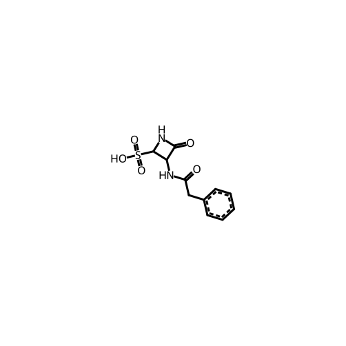 O=C(Cc1ccccc1)NC1C(=O)NC1S(=O)(=O)O